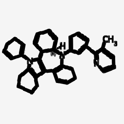 Cc1cccnc1-c1cccc(N2C3=C(C=CCC3)c3c4c(n(C5=CCCC=C5)c3C3C=CC=C[C@H]32)CCCC4)c1